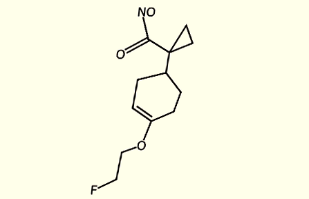 O=NC(=O)C1(C2CC=C(OCCF)CC2)CC1